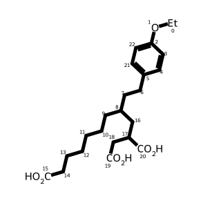 CCOc1ccc(CCC(CCCCCCC(=O)O)CC(CC(=O)O)C(=O)O)cc1